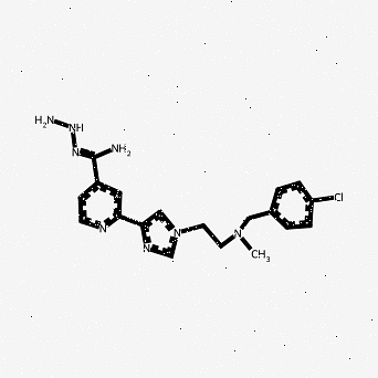 CN(CCn1cnc(-c2cc(/C(N)=N/NN)ccn2)c1)Cc1ccc(Cl)cc1